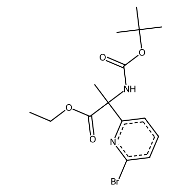 CCOC(=O)C(C)(NC(=O)OC(C)(C)C)c1cccc(Br)n1